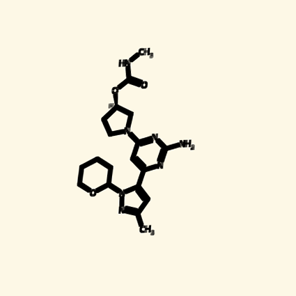 CNC(=O)O[C@@H]1CCN(c2cc(-c3cc(C)nn3C3CCCCO3)nc(N)n2)C1